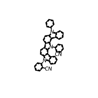 N#Cc1ccccc1-n1c2cccc(C#N)c2c2c1ccc1c3ccc4c(c5ccccc5n4-c4ccccc4)c3n(-c3ccccc3)c12